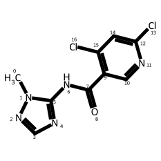 Cn1ncnc1NC(=O)c1cnc(Cl)cc1Cl